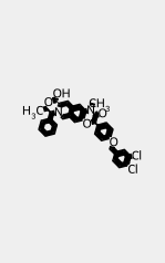 CC[C@H](C1CCCCC1)N1Cc2cc3c(cc2C[C@H]1C(=O)O)N(C)C(=O)[C@@H](c1ccc(OCc2ccc(Cl)c(Cl)c2)cc1)O3